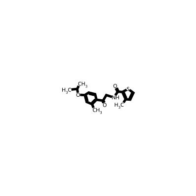 Cc1cc(OC(C)C)ccc1C(=O)CNC(=O)c1sccc1C